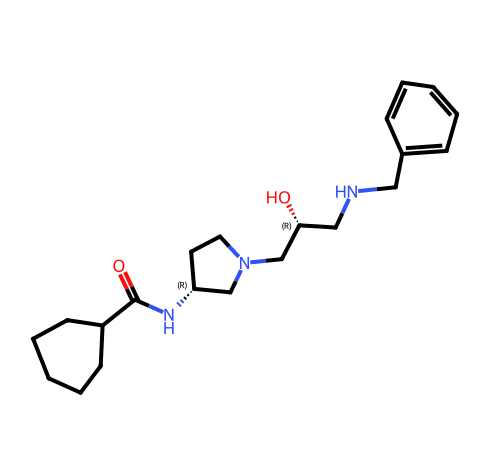 O=C(N[C@@H]1CCN(C[C@H](O)CNCc2ccccc2)C1)C1CCCCC1